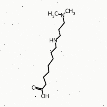 CN(C)CCCNCCCCCCCC(=O)O